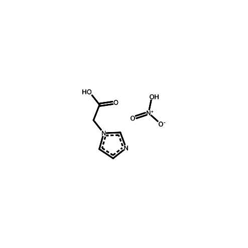 O=C(O)Cn1ccnc1.O=[N+]([O-])O